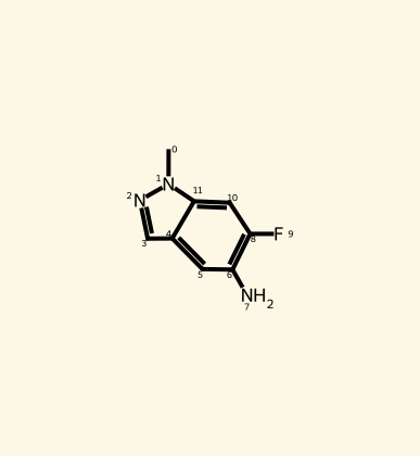 Cn1ncc2cc(N)c(F)cc21